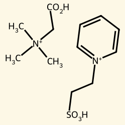 C[N+](C)(C)CC(=O)O.O=S(=O)(O)CC[n+]1ccccc1